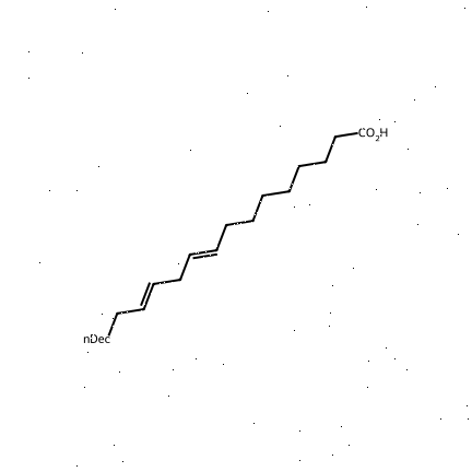 CCCCCCCCCCCC=CCC=CCCCCCCCC(=O)O